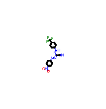 N#CC(N=Nc1ccc([N+](=O)[O-])cc1)=NNc1ccc(C(F)(F)F)cc1